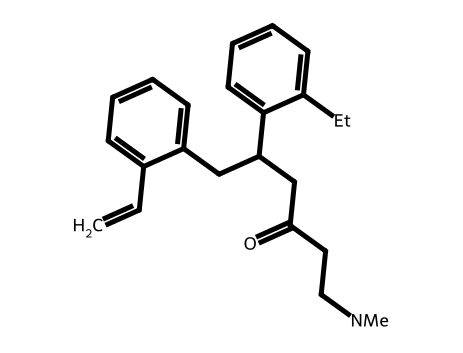 C=Cc1ccccc1CC(CC(=O)CCNC)c1ccccc1CC